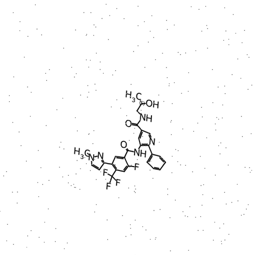 C[C@H](O)CNC(=O)c1cnc(-c2ccccc2)c(NC(=O)c2cc(-c3ccn(C)n3)c(C(F)(F)F)cc2F)c1